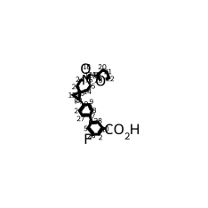 O=C(O)c1cc(F)cc(-c2ccc([C@H]3CC34CCN(C(=O)[C@H]3CCCO3)CC4)cc2)c1